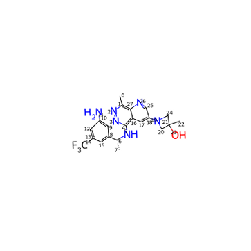 Cc1nnc(N[C@H](C)c2cc(N)cc(C(F)(F)F)c2)c2cc(N3CC(C)(O)C3)cnc12